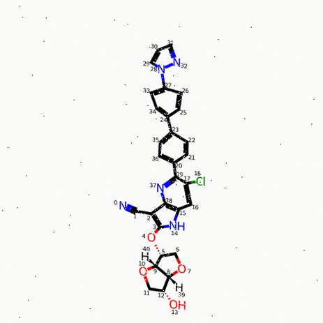 N#Cc1c(O[C@@H]2CO[C@H]3[C@@H]2OC[C@H]3O)[nH]c2cc(Cl)c(-c3ccc(-c4ccc(-n5cccn5)cc4)cc3)nc12